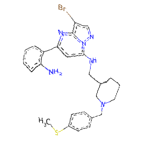 CSc1ccc(CN2CCCC(CNc3cc(-c4ccccc4N)nc4c(Br)cnn34)C2)cc1